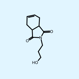 O=C1C2CC=CCC2C(=O)N1CCCO